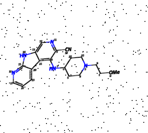 COCCN1CCC(Nc2c(C#N)ncc3[nH]c4ncccc4c23)CC1